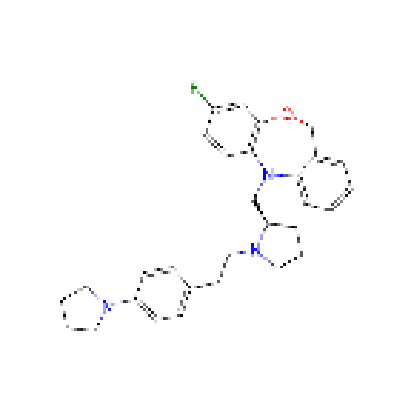 Fc1ccc2c(c1)OCc1ccccc1N2C[C@H]1CCCN1CCc1ccc(N2CCCC2)cc1